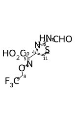 O=CNc1nc(/C(=N/OCC(F)(F)F)C(=O)O)cs1